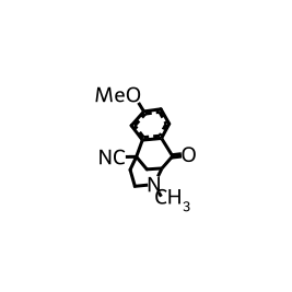 COc1ccc2c(c1)C1(C#N)CCN(C)C(C1)C2=O